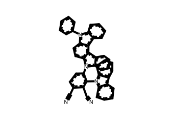 N#Cc1ccc(-n2c3ccccc3c3c4c5ccccc5n(-c5ccccc5)c4ccc32)c(-n2c3ccccc3c3ccccc32)c1C#N